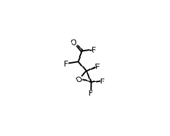 O=C(F)C(F)C1(F)OC1(F)F